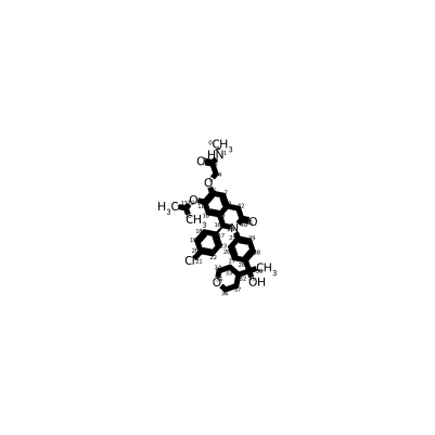 CNC(=O)COc1cc2c(cc1OC(C)C)[C@H](c1ccc(Cl)cc1)N(c1ccc(C(C)(O)C3CCOCC3)cc1)C(=O)C2